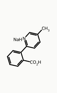 Cc1ccc(-c2ccccc2C(=O)O)nc1.[NaH]